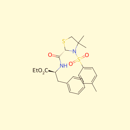 CCOC(=O)[C@H](Cc1ccccc1)NC(=O)[C@@H]1SCC(C)(C)N1S(=O)(=O)c1ccc(C)cc1